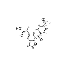 CC(C(=O)O)c1cc2c(c(C(=O)c3ccc([S+](C)[O-])cc3)c1)OCC2